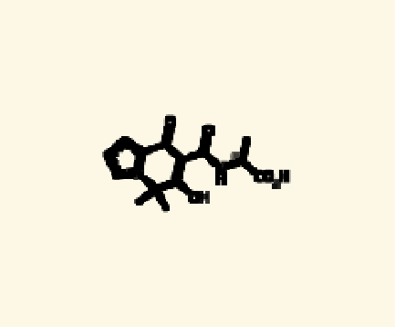 C[C@H](NC(=O)C1=C(O)C(C)(C)n2cccc2C1=O)C(=O)O